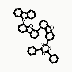 c1ccc(-c2nc(-c3ccccc3)nc(-c3ccc4oc5cccc(-c6cccc7c6oc6c(-n8c9ccccc9c9ccccc98)cccc67)c5c4c3)n2)cc1